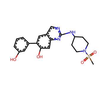 CS(=O)(=O)N1CCC(Nc2ncc3cc(-c4cccc(O)c4)c(O)cc3n2)CC1